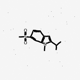 CC(C)c1cc2ccc(S(C)(=O)=O)cc2n1C